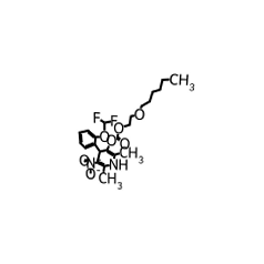 CCCCCCOCCOC(=O)OC1=C(C)NC(C)=C([N+](=O)[O-])C1c1ccccc1OC(F)F